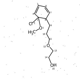 COC1(Cl)C=CC=CC1CCCOCCO